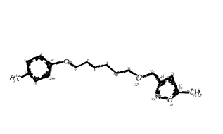 Cc1ccc(OCCCCCCOCc2cc(C)on2)cc1